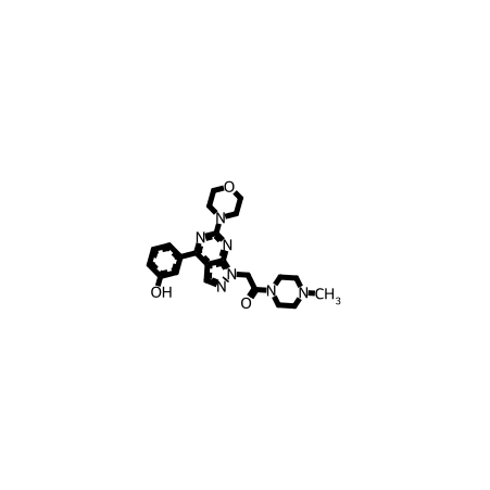 CN1CCN(C(=O)Cn2ncc3c(-c4cccc(O)c4)nc(N4CCOCC4)nc32)CC1